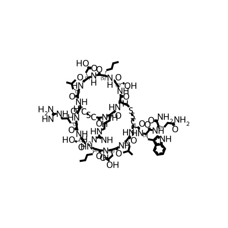 CCCC[C@@H]1NC(=O)[C@H](CO)NC(=O)[C@@H]2CSSC[C@@H](C(=O)N[C@@H](Cc3c[nH]c4ccccc34)C(=O)N[C@@H](CCC(N)=O)C(N)=O)NC(=O)[C@H](CC(C)C)NC(=O)[C@@H](CC(=O)O)NC(=O)[C@H](CCCC)NC(=O)[C@H](CO)NC(=O)[C@H](CCCNC(=N)N)NC(=O)[C@H](CSCC(=O)N[C@@H](CCCNC(=N)N)C(=O)N2)NC(=O)[C@H](CC(C)C)NC(=O)[C@H](CC(=O)O)NC1=O